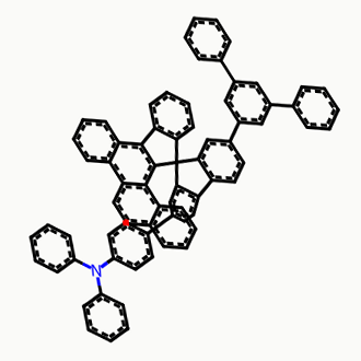 c1ccc(-c2cc(-c3ccccc3)cc(-c3ccc4c(c3)C3(c5cc(-c6ccc(N(c7ccccc7)c7ccccc7)cc6)ccc5-4)c4ccccc4-c4c3c3c5ccccc5ccc3c3ccccc43)c2)cc1